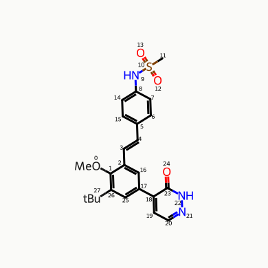 COc1c(C=Cc2ccc(NS(C)(=O)=O)cc2)cc(-c2ccn[nH]c2=O)cc1C(C)(C)C